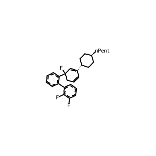 CCCCC[C@H]1CC[C@H](C2=CC(F)(c3ccccc3-c3cccc(F)c3F)CC=C2)CC1